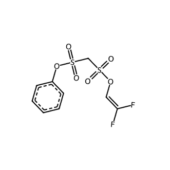 O=S(=O)(CS(=O)(=O)Oc1ccccc1)OC=C(F)F